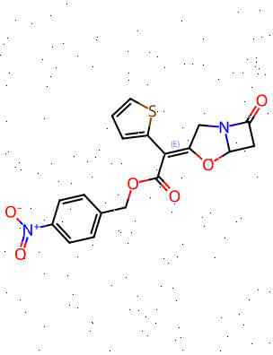 O=C(OCc1ccc([N+](=O)[O-])cc1)/C(=C1/CN2C(=O)CC2O1)c1cccs1